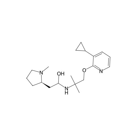 CN1CCC[C@@H]1CC(O)NC(C)(C)COc1ncccc1C1CC1